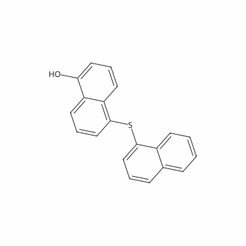 Oc1cccc2c(Sc3cccc4ccccc34)cccc12